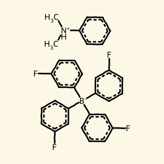 C[NH+](C)c1ccccc1.Fc1cccc([B-](c2cccc(F)c2)(c2cccc(F)c2)c2cccc(F)c2)c1